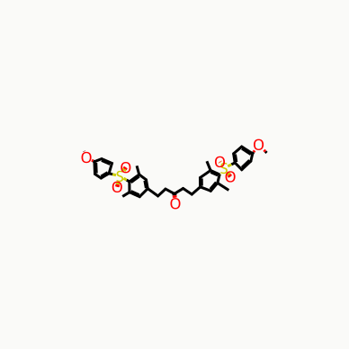 COc1ccc(S(=O)(=O)c2c(C)cc(CCC(=O)CCc3cc(C)c(S(=O)(=O)c4ccc(OC)cc4)c(C)c3)cc2C)cc1